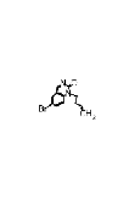 C=CCCn1c(=O)ncc2cc(Br)ccc21